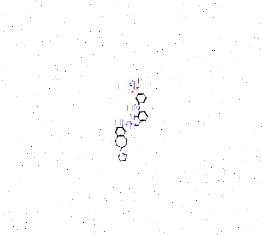 CN(C)S(=O)(=O)c1cccc(Nc2cccc3cnc(Nc4ccc5c(c4)CCC(N4CCCC4)CC5)nc23)c1